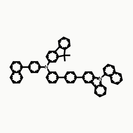 CC1(C)c2ccccc2-c2ccc(N(c3ccc(-c4cccc5ccccc45)cc3)c3cccc(-c4ccc(-c5ccc6c(c5)c5ccccc5n6-c5cccc6ccccc56)cc4)c3)cc21